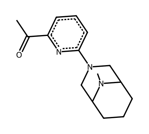 CC(=O)c1cccc(N2CC3CCCC(C2)N3C)n1